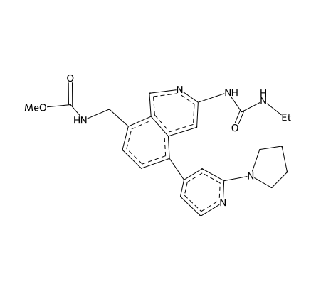 CCNC(=O)Nc1cc2c(-c3ccnc(N4CCCC4)c3)ccc(CNC(=O)OC)c2cn1